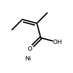 CC=C(C)C(=O)O.[Ni]